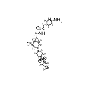 Nc1ccc(C=CC(=O)NCc2cc3cc(-c4ccc(S(=O)(=O)N5CC(F)(F)C5)cc4)cc(Cl)c3o2)cn1